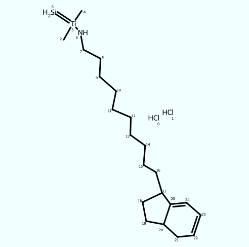 Cl.Cl.[CH3][Ti]([CH3])(=[SiH2])[NH]CCCCCCCCCCC1CCC2CC=CC=C21